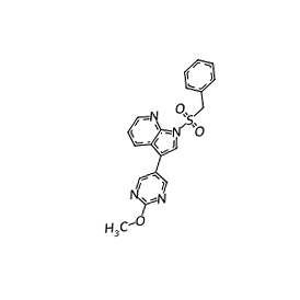 COc1ncc(-c2cn(S(=O)(=O)Cc3ccccc3)c3ncccc23)cn1